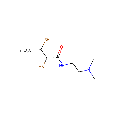 CN(C)CCNC(=O)C(S)C(S)C(=O)O